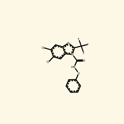 O=C(NOc1ccccc1)n1c(C(F)(F)F)nc2cc(Cl)c(Cl)cc21